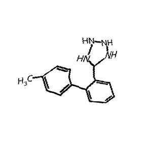 Cc1ccc(-c2ccccc2C2NNNN2)cc1